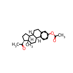 CC(=O)Oc1ccc2c(c1)CC[C@@H]1[C@@H]2CC[C@]2(C)[C@@H](C(C)=O)CC[C@@H]12